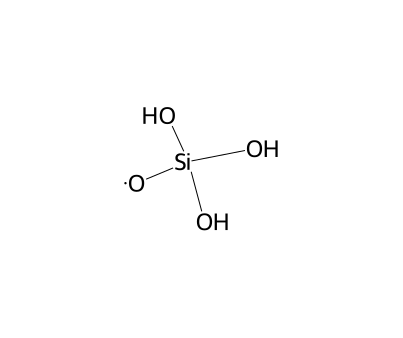 [O][Si](O)(O)O